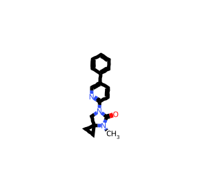 CN1C(=O)N(c2ccc(-c3ccccc3)cn2)CC12CC2